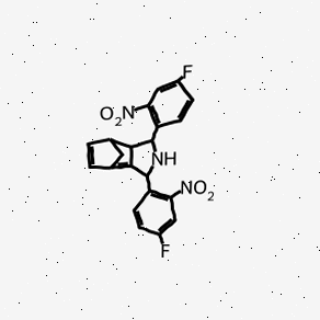 O=[N+]([O-])c1cc(F)ccc1C1NC(c2ccc(F)cc2[N+](=O)[O-])C2C1=C1C=CC2C1